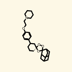 c1cc(C2CCC[C@]3(C2)OOC2(O3)C3CC4CC(C3)CC2C4)ccc1OCCN1CCCCC1